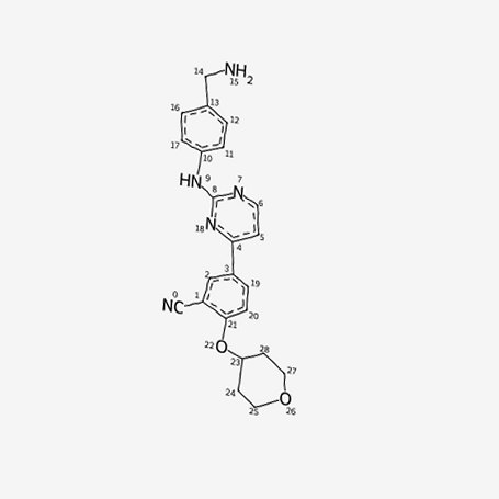 N#Cc1cc(-c2ccnc(Nc3ccc(CN)cc3)n2)ccc1OC1CCOCC1